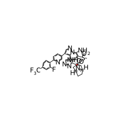 CS(=O)(=O)c1c([C@@H]2C[C@H]3CC[C@@H](C2)N3C(=O)c2nnc[nH]2)nc2c(-c3ccc(-c4ccc(C(F)(F)F)cc4F)nc3)cnn2c1N